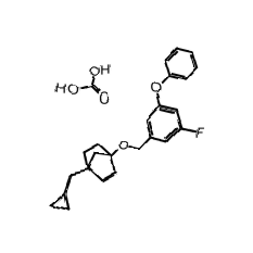 Fc1cc(COC23CCC(CC4CC4)(CC2)C3)cc(Oc2ccccc2)c1.O=C(O)O